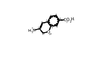 NC1=Cc2ccc(C(=O)O)cc2OC1